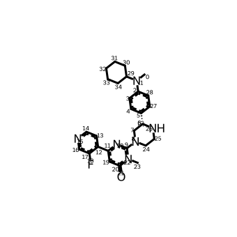 CN(c1ccc([C@H]2CN(c3nc(-c4ccncc4F)cc(=O)n3C)CCN2)cc1)C1CCCCC1